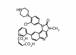 Cn1c(=O)n(-c2ccc(N3CCNCC3)c(Cl)c2)c2c3cc(-c4cccnc4)ccc3ncc21.O=C(O)/C=C\C(=O)O